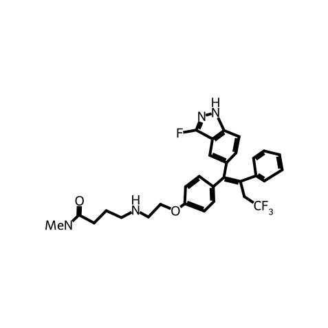 CNC(=O)CCCNCCOc1ccc(C(=C(CC(F)(F)F)c2ccccc2)c2ccc3[nH]nc(F)c3c2)cc1